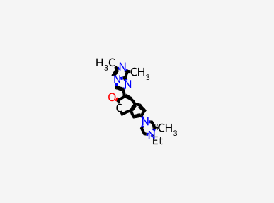 CCN1CCN(c2ccc3c(c2)CCC(=O)C(c2cn4cc(C)nc(C)c4n2)=C3)C[C@H]1C